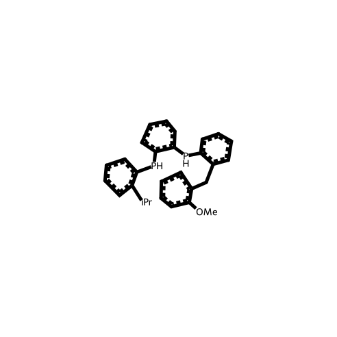 COc1ccccc1Cc1ccccc1Pc1ccccc1Pc1ccccc1C(C)C